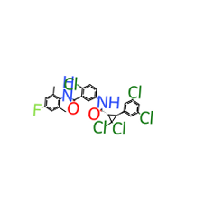 Cc1cc(F)cc(C)c1NC(=O)c1cc(NC(=O)[C@@H]2[C@@H](c3cc(Cl)cc(Cl)c3)C2(Cl)Cl)ccc1Cl